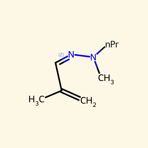 C=C(C)/C=N\N(C)CCC